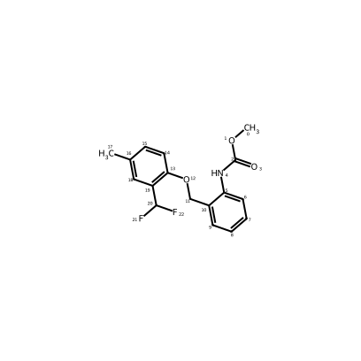 COC(=O)Nc1ccccc1COc1ccc(C)cc1C(F)F